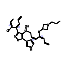 C=C/C=C(\C(Cl)=C/C)c1noc(-c2cc[nH]c2)c1[C@@H](O)C/C=C\C(=C/C=C)OC1CN(CCC)C1